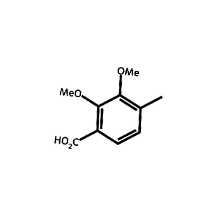 COc1c(C)ccc(C(=O)O)c1OC